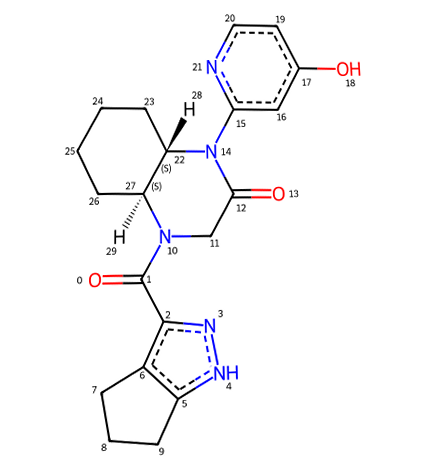 O=C(c1n[nH]c2c1CCC2)N1CC(=O)N(c2cc(O)ccn2)[C@H]2CCCC[C@@H]21